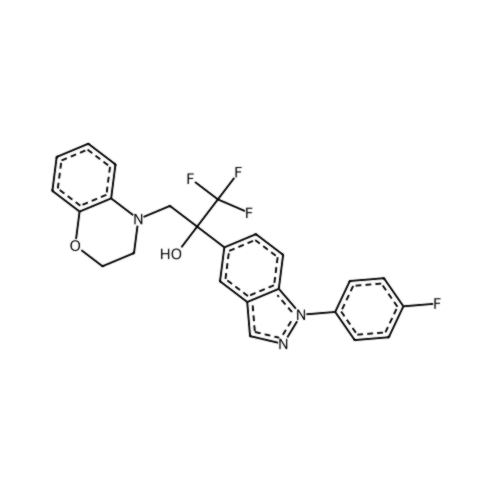 OC(CN1CCOc2ccccc21)(c1ccc2c(cnn2-c2ccc(F)cc2)c1)C(F)(F)F